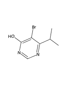 CC(C)c1ncnc(O)c1Br